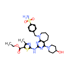 CCOC(=O)c1sc(Nc2nc(N3CCC(O)CC3)c3c(n2)N(Cc2ccc(S(N)(=O)=O)cc2)CCCC3)nc1C